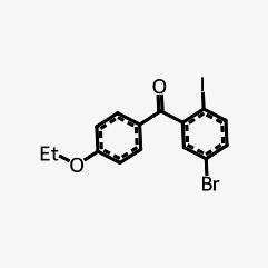 CCOc1ccc(C(=O)c2cc(Br)ccc2I)cc1